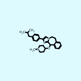 CC(C)Cc1ccc(-c2cn3c(n2)C(OC2CCN(C)CC2)c2ccccc2CC3)cc1